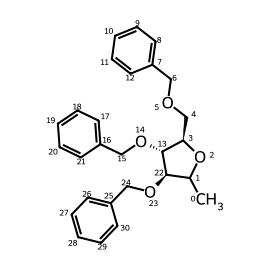 CC1O[C@H](COCc2ccccc2)[C@@H](OCc2ccccc2)[C@@H]1OCc1ccccc1